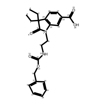 CCC1(CC)C(=O)N(CCNC(=O)OCc2ccccc2)c2cc(C(=O)O)ccc21